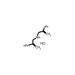 C=C(CCC)CNCC(=C)CCC.Cl